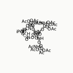 CC(=O)CC1C(COC(C)=O)OC(OCCOCCNC(=O)CN(CC(=O)NCCOCCOC2OC(COC(C)=O)C(OC(C)=O)C(OC(C)=O)C2NC(C)=O)C(Cc2ccc(CNC(=O)C3CCC(OP(OCCC#N)N(C(C)C)C(C)C)CC3)cc2)C(=O)NCCOCCOC2OC(COC(C)=O)C(OC(C)=O)C(OC(C)=O)C2NC(C)=O)C(NC(C)=O)C1OC(C)=O